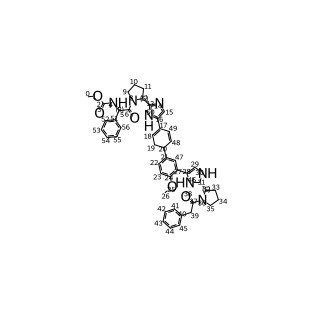 COC(=O)N[C@@H](C(=O)N1CCC[C@H]1c1ncc(C2=CCC(c3ccc(OC)c(C4=CNC([C@@H]5CCCN5C(=O)Cc5ccccc5)N4)c3)C=C2)[nH]1)c1ccccc1